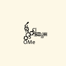 C#CCN1CCN(C2Cc3ccc(OC)cc3Sc3ccc(Cl)cc32)CC1.CS(=O)(=O)O.CS(=O)(=O)O